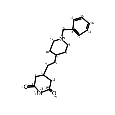 O=C1CC(CCC2CCN(Cc3ccccc3)CC2)CC(=O)N1